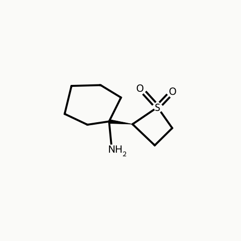 NC1([C@@H]2CCS2(=O)=O)CCCCC1